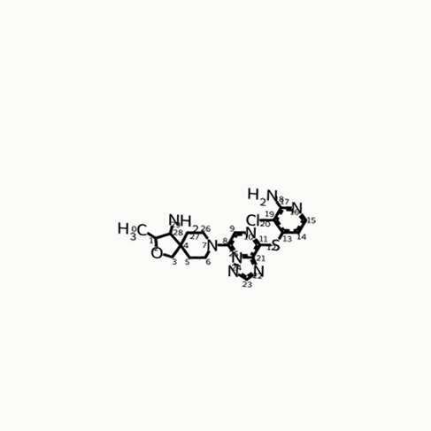 CC1OCC2(CCN(c3cnc(Sc4ccnc(N)c4Cl)c4ncnn34)CC2)C1N